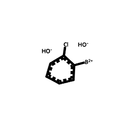 [B+2]c1ccccc1Cl.[OH-].[OH-]